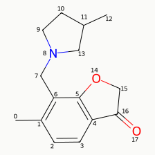 Cc1ccc2c(c1CN1CCC(C)C1)OCC2=O